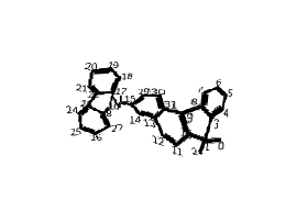 CC1(C)c2ccccc2-c2c1ccc1cc(-n3c4ccccc4c4ccccc43)ccc21